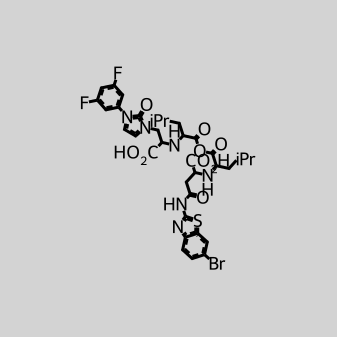 CC(C)CC(NC(CC(=O)Nc1nc2ccc(Br)cc2s1)C(=O)O)C(=O)OC(=O)C(CC(C)C)NC(Cn1ccn(-c2cc(F)cc(F)c2)c1=O)C(=O)O